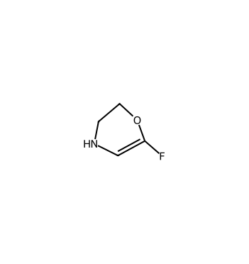 FC1=CNCCO1